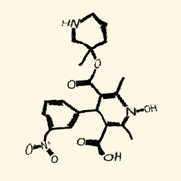 CC1=C(C(=O)O)C(c2cccc([N+](=O)[O-])c2)C(C(=O)OC2(C)CCCNC2)=C(C)N1O